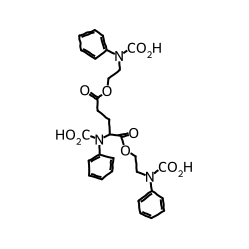 O=C(CCC(C(=O)OCCN(C(=O)O)c1ccccc1)N(C(=O)O)c1ccccc1)OCCN(C(=O)O)c1ccccc1